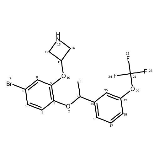 CC(Oc1ccc(Br)cc1OC1CNC1)c1cccc(OC(F)(F)F)c1